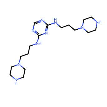 [c]1nc(NCCCN2CCNCC2)nc(NCCCN2CCNCC2)n1